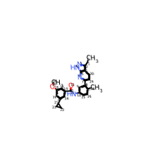 CCc1n[nH]c2nc(-c3cc(NC(=O)c4cc(OC)cc(C5CC5)c4)ccc3C)ccc12